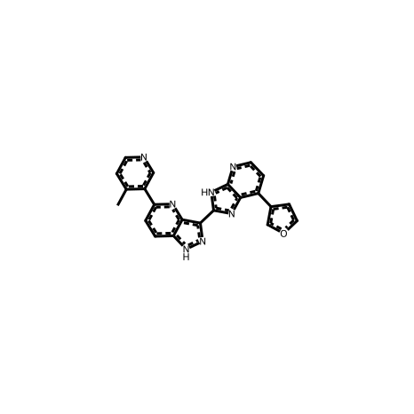 Cc1ccncc1-c1ccc2[nH]nc(-c3nc4c(-c5ccoc5)ccnc4[nH]3)c2n1